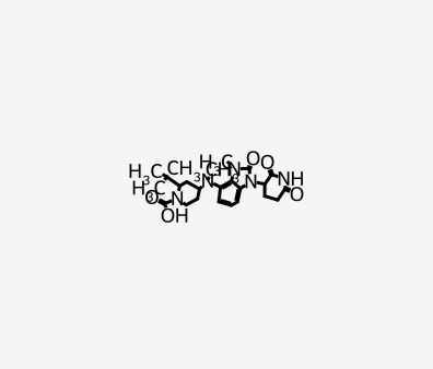 CN(c1cccc2c1n(C)c(=O)n2C1CCC(=O)NC1=O)C1CCN(C(=O)O)C(C(C)(C)C)C1